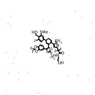 CSc1cc(C2C=C(c3oc(C)nc3-c3ccc4c(c3)OC(F)(F)O4)C(c3cc(C(F)(F)C(=O)NCCO)nn3C)=CC2)cc(F)c1CO